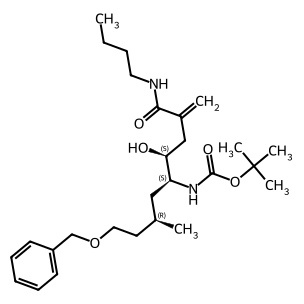 C=C(C[C@H](O)[C@H](C[C@@H](C)CCOCc1ccccc1)NC(=O)OC(C)(C)C)C(=O)NCCCC